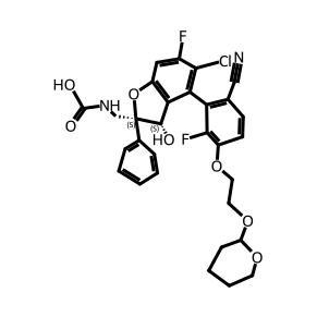 N#Cc1ccc(OCCOC2CCCCO2)c(F)c1-c1c(Cl)c(F)cc2c1[C@H](O)[C@@](CNC(=O)O)(c1ccccc1)O2